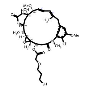 COc1cc2cc(c1Cl)N(C)C(=O)C[C@H](OC(=O)COCCCS)[C@]1(C)O[C@H]1[C@H](C)[C@@H]1C[C@@](O)(NC(=O)O1)[C@H](OC)/C=C/C=C(\C)C2